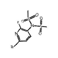 CS(=O)(=O)N(c1ccc(Br)nc1F)S(C)(=O)=O